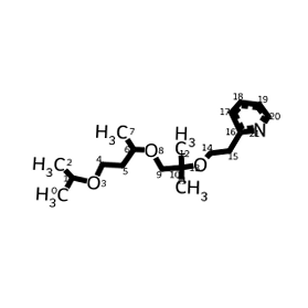 CC(C)OCCC(C)OCC(C)(C)OCCc1ccccn1